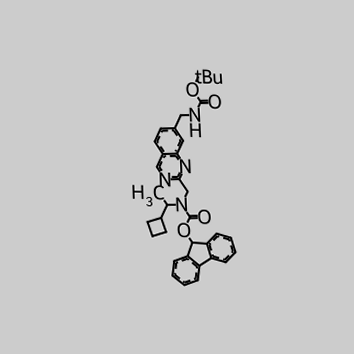 CC(C1CCC1)N(Cc1ncc2ccc(CNC(=O)OC(C)(C)C)cc2n1)C(=O)OC1c2ccccc2-c2ccccc21